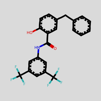 O=C(Nc1cc(C(F)(F)F)cc(C(F)(F)F)c1)c1cc(Cc2ccccc2)ccc1O